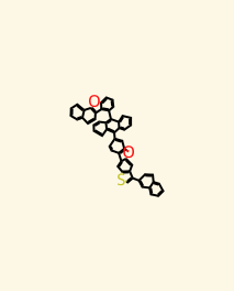 c1ccc2cc(-c3csc4cc5c(cc34)oc3cc(-c4c6ccccc6c(-c6cccc7oc8c9ccccc9ccc8c67)c6ccccc46)ccc35)ccc2c1